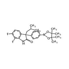 CC(C)CC1(c2ccc(B3OC(C)(C)C(C)(C)O3)cc2)C(=O)Nc2c1ccc(F)c2F